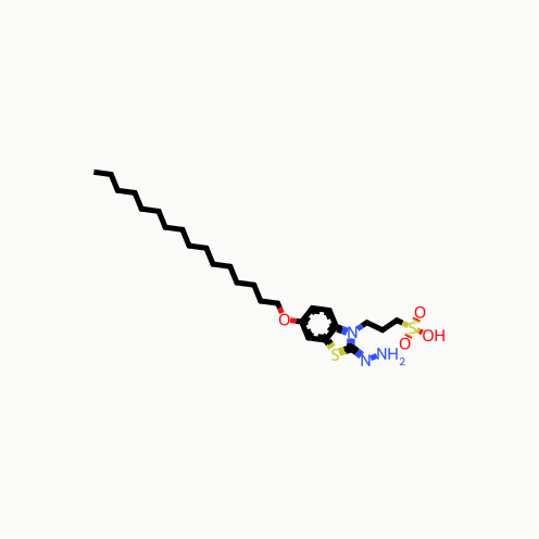 CCCCCCCCCCCCCCCCOc1ccc2c(c1)s/c(=N/N)n2CCCS(=O)(=O)O